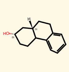 O[C@H]1CCC2c3ccccc3CC[C@H]2C1